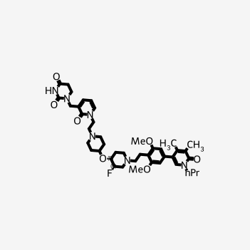 CCCn1cc(-c2cc(OC)c(CCN3CC[C@@H](OC4CCN(CCn5cccc(CN6CCC(=O)NC6=O)c5=O)CC4)[C@H](F)C3)c(OC)c2)c(C)c(C)c1=O